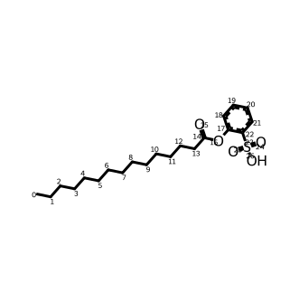 CCCCCCCCCCCCCCC(=O)Oc1ccccc1S(=O)(=O)O